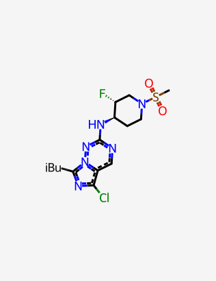 CCC(C)c1nc(Cl)c2cnc(N[C@@H]3CCN(S(C)(=O)=O)C[C@H]3F)nn12